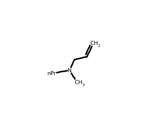 [CH2]CCN(C)CC=C